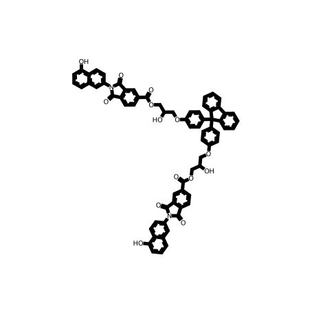 O=C(OCC(O)COc1ccc(C2(c3ccc(OCC(O)COC(=O)c4ccc5c(c4)C(=O)N(c4ccc6c(O)cccc6c4)C5=O)cc3)c3ccccc3-c3ccccc32)cc1)c1ccc2c(c1)C(=O)N(c1ccc3c(O)cccc3c1)C2=O